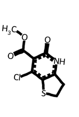 COC(=O)c1c(Cl)c2c([nH]c1=O)CCS2